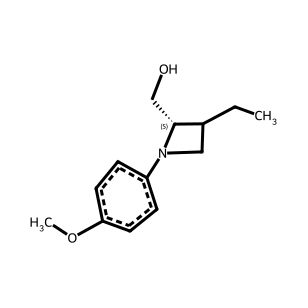 CCC1CN(c2ccc(OC)cc2)[C@@H]1CO